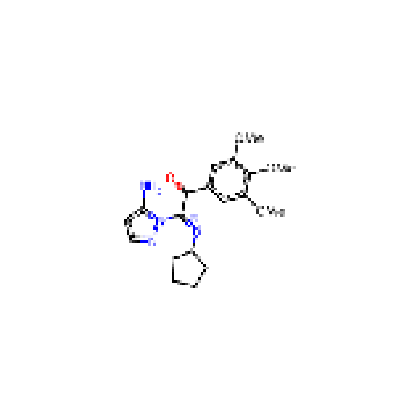 COc1cc(C(=O)/C(=N/C2CCCC2)n2nccc2N)cc(OC)c1OC